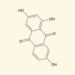 O=C1c2ccc(O)cc2C(=O)c2c(O)cc(O)cc21